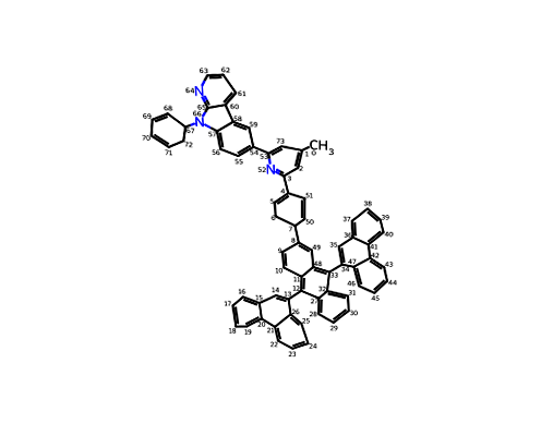 Cc1cc(C2=CCC(c3ccc4c(-c5cc6ccccc6c6ccccc56)c5ccccc5c(-c5cc6ccccc6c6ccccc56)c4c3)C=C2)nc(-c2ccc3c(c2)c2cccnc2n3C2C=CC=CC2)c1